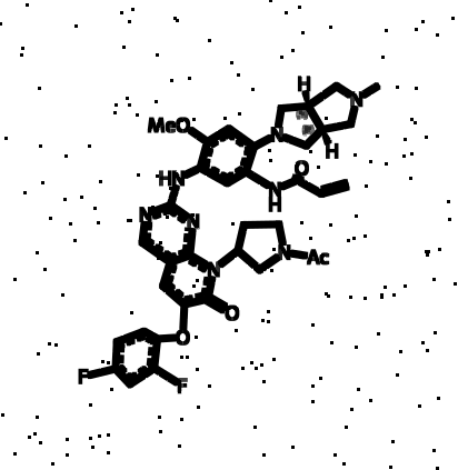 C=CC(=O)Nc1cc(Nc2ncc3cc(Oc4ccc(F)cc4F)c(=O)n(C4CCN(C(C)=O)C4)c3n2)c(OC)cc1N1C[C@H]2CN(C)C[C@H]2C1